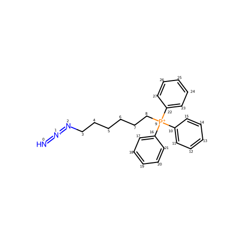 N=[N+]=NCCCCCC[P+](c1ccccc1)(c1ccccc1)c1ccccc1